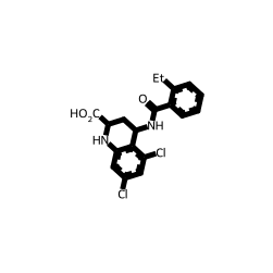 CCc1ccccc1C(=O)NC1CC(C(=O)O)Nc2cc(Cl)cc(Cl)c21